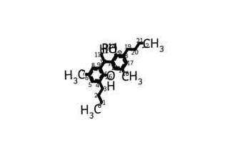 CCCCc1cc(C)cc(C(CP)c2cc(C)cc(CCCC)c2O)c1O